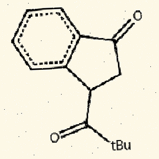 CC(C)(C)C(=O)C1CC(=O)c2ccccc21